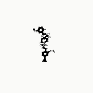 Cc1cc(C2=CC2)ccc1CCS(=O)(=O)N1CCC2(CC1)N=C(c1cccc(OF)c1)NC2=O